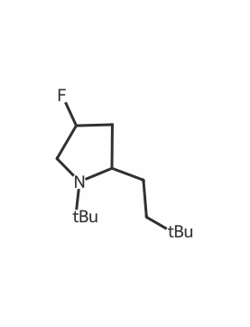 CC(C)(C)CCC1CC(F)CN1C(C)(C)C